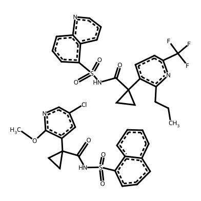 CCCc1nc(C(F)(F)F)ccc1C1(C(=O)NS(=O)(=O)c2cccc3ncccc23)CC1.COc1ncc(Cl)cc1C1(C(=O)NS(=O)(=O)c2cccc3ccccc23)CC1